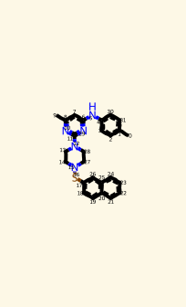 Cc1ccc(Nc2cc(C)nc(N3CCN(Sc4ccc5ccccc5c4)CC3)n2)cc1